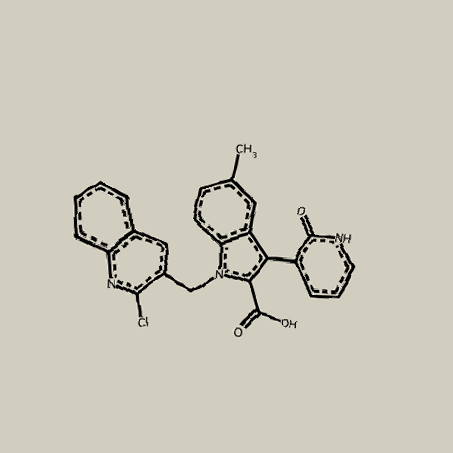 Cc1ccc2c(c1)c(-c1ccc[nH]c1=O)c(C(=O)O)n2Cc1cc2ccccc2nc1Cl